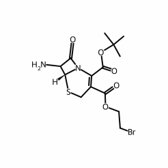 CC(C)(C)OC(=O)C1=C(C(=O)OCCBr)CS[C@@H]2C(N)C(=O)N12